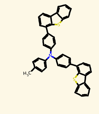 Cc1ccc(N(c2ccc(-c3cccc4c3sc3ccccc34)cc2)c2ccc(-c3cccc4c3sc3ccccc34)cc2)cc1